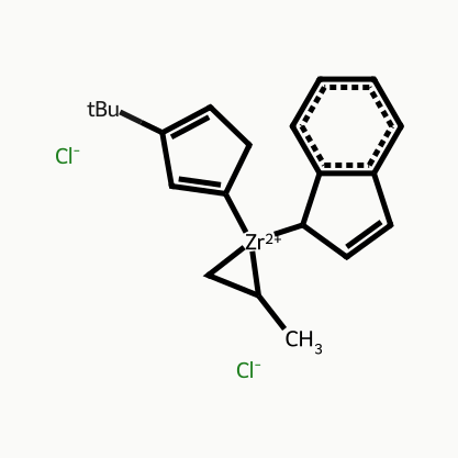 C[CH]1[CH2][Zr+2]1([C]1=CC(C(C)(C)C)=CC1)[CH]1C=Cc2ccccc21.[Cl-].[Cl-]